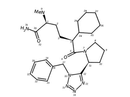 CN[C@@H](CC[C@H](C(=O)N1CCC[C@H]1c1nnnn1Cc1ccccc1)C1CCCCC1)C(N)=O